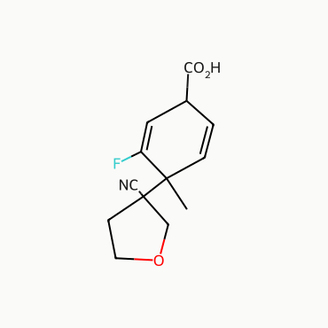 CC1(C2(C#N)CCOC2)C=CC(C(=O)O)C=C1F